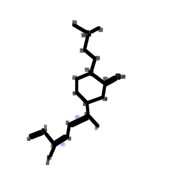 C=N/C(F)=C\C=C(/C)C1CCN(CCN(C)C)C(=O)C1